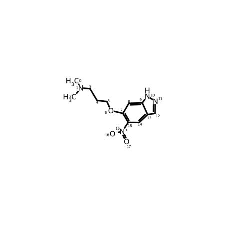 CN(C)CCCOc1cc2[nH]ncc2cc1[N+](=O)[O-]